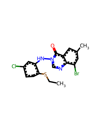 CCSc1ccc(Cl)cc1Nn1cnc2c(Br)cc(C)cc2c1=O